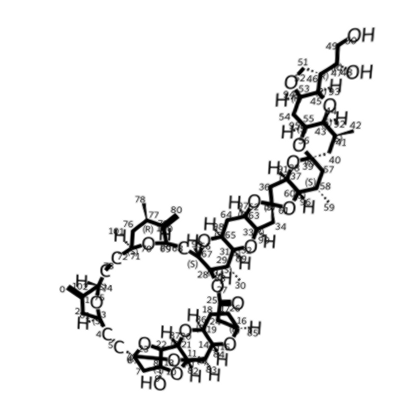 C=C1C[C@@H]2CC[C@@]34C[C@]5(O)O[C@H]6[C@@H](O3)[C@H]3O[C@H](CC[C@@H]3O[C@H]6C5O4)CC(=O)O[C@@H]3[C@@H](C)[C@@H]4O[C@@H]5C[C@]6(C[C@@H]7O[C@]8(C[C@H](C)[C@@H]9O[C@@H]%10[C@@H]([C@@H](O)CO)CO[C@@H]%10C[C@@H]9O8)C[C@H](C)[C@@H]7O6)O[C@@H]5C[C@@H]4O[C@H]3C[C@H]3O[C@@H](CC[C@@H]1O2)C[C@@H](C)C3=C